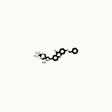 CC1(C)OCC(CCc2ccc3sc4cc(OCc5ccccc5)ccc4c(=O)c3c2)(NO)CO1